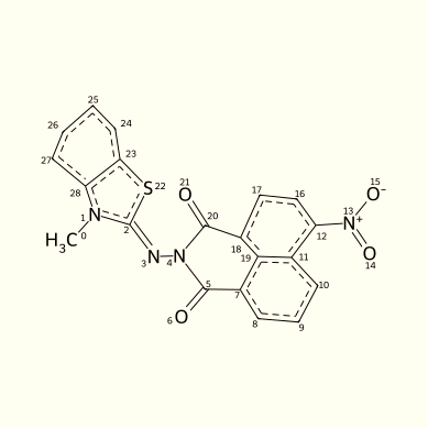 Cn1c(=NN2C(=O)c3cccc4c([N+](=O)[O-])ccc(c34)C2=O)sc2ccccc21